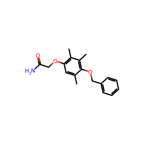 Cc1cc(OCC(N)=O)c(C)c(C)c1OCc1ccccc1